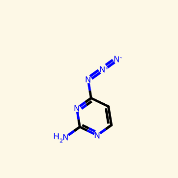 [N-]=[N+]=Nc1ccnc(N)n1